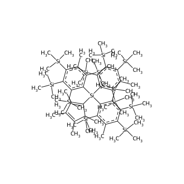 CC1=C(C)C(C)C([Si](c2c([Si](C)(C)C)c(C)c([Si](C)(C)C)c([Si](C)(C)C)c2[Si](C)(C)C)(c2c([Si](C)(C)C)c(C)c([Si](C)(C)C)c([Si](C)(C)C)c2[Si](C)(C)C)c2c([Si](C)(C)C)c(C)c([Si](C)(C)C)c([Si](C)(C)C)c2[Si](C)(C)C)=C1C